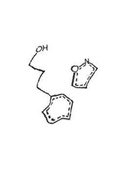 OCCCc1ccccc1.c1cnoc1